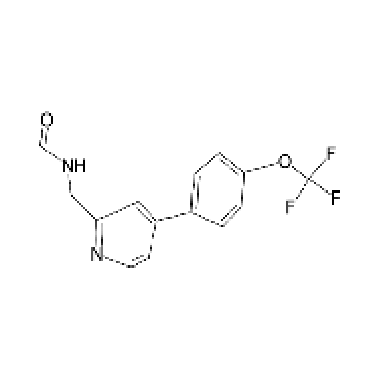 O=CNCc1cc(-c2ccc(OC(F)(F)F)cc2)ccn1